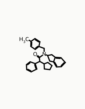 Cc1ccc(CN(C(=O)C(c2ccccc2)C2CCCC2)C2Cc3ccccc3C2)cc1